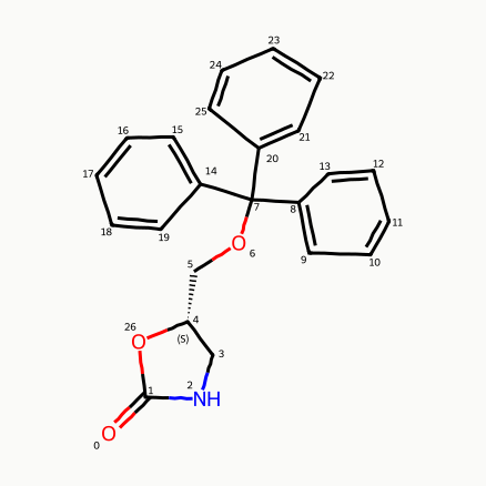 O=C1NC[C@@H](COC(c2ccccc2)(c2ccccc2)c2ccccc2)O1